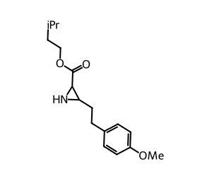 COc1ccc(CCC2NC2C(=O)OCCC(C)C)cc1